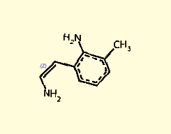 Cc1cccc(/C=C\N)c1N